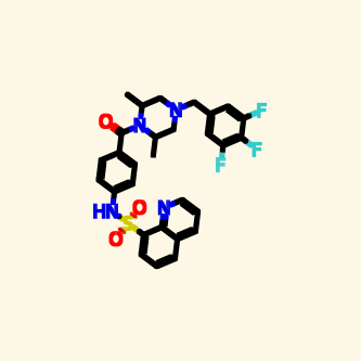 CC1CN(Cc2cc(F)c(F)c(F)c2)CC(C)N1C(=O)c1ccc(NS(=O)(=O)c2cccc3cccnc23)cc1